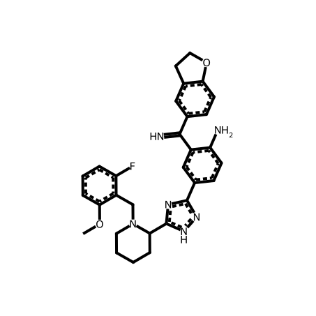 COc1cccc(F)c1CN1CCCCC1c1nc(-c2ccc(N)c(C(=N)c3ccc4c(c3)CCO4)c2)n[nH]1